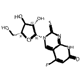 O=c1cc(F)c2cn([C@@H]3O[C@H](CO)C(O)[C@@H]3O)c(=S)nc2[nH]1